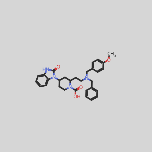 COc1ccc(CN(CCC2CC(n3c(=O)[nH]c4ccccc43)CCN2C(=O)O)Cc2ccccc2)cc1